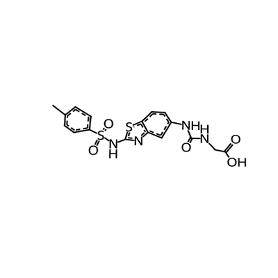 Cc1ccc(S(=O)(=O)Nc2nc3cc(NC(=O)NCC(=O)O)ccc3s2)cc1